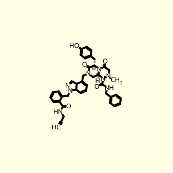 C#CCNC(=O)c1ccccc1CN1N=CC2C(CN3C[C@H]4N(C(=O)CN(C)N4C(=O)NCc4ccccc4)[C@@H](Cc4ccc(O)cc4)C3=O)=CC=CC21